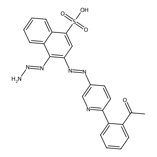 CC(=O)c1ccccc1-c1ccc(/N=N/c2cc(S(=O)(=O)O)c3ccccc3c2N=NN)cn1